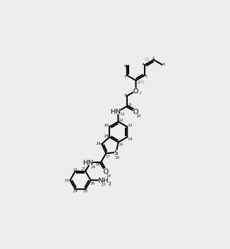 C=C/C(=C\C=C/C)OCC(=O)Nc1ccc2sc(C(=O)Nc3ccccc3N)cc2c1